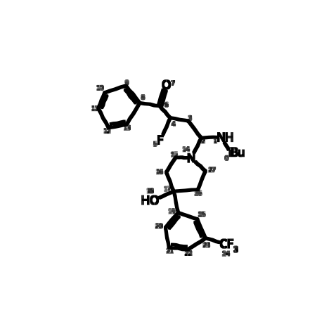 CCC(C)NC(CC(F)C(=O)c1ccccc1)N1CCC(O)(c2cccc(C(F)(F)F)c2)CC1